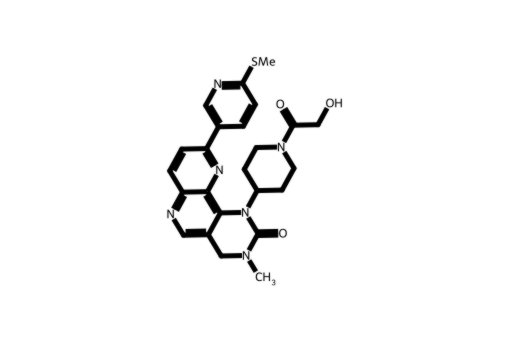 CSc1ccc(-c2ccc3ncc4c(c3n2)N(C2CCN(C(=O)CO)CC2)C(=O)N(C)C4)cn1